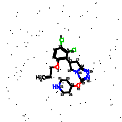 C=CCOc1ccc(Cl)c(Cl)c1C1Cc2nnc(OC3CCNCC3)n2C1